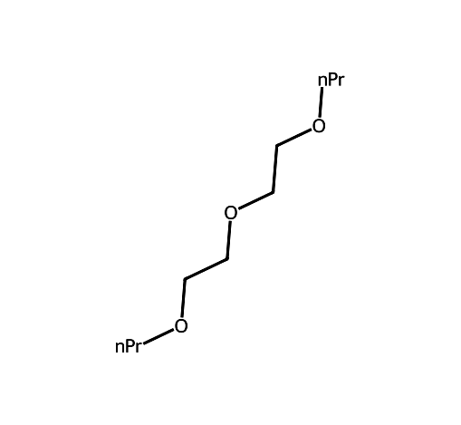 [CH2]CCOCCOCCOCCC